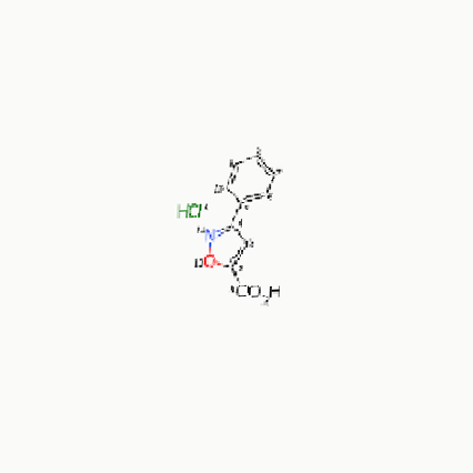 Cl.O=C(O)c1cc(-c2ccccc2)no1